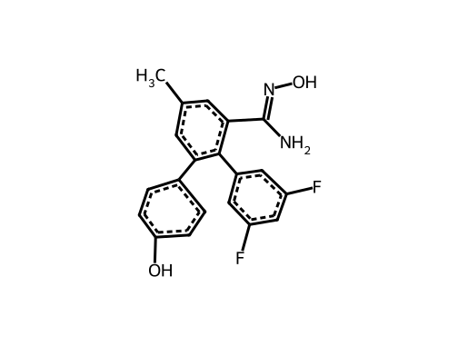 Cc1cc(/C(N)=N/O)c(-c2cc(F)cc(F)c2)c(-c2ccc(O)cc2)c1